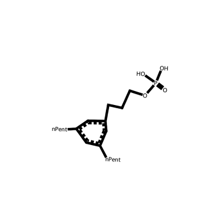 CCCCCc1cc(CCCCC)cc(CCCOP(=O)(O)O)c1